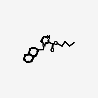 CCCCOC(=O)c1nccn1Cc1ccc2ccccc2c1